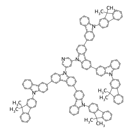 CC1(C)c2ccccc2-c2ccc(-n3c4ccccc4c4cc(-c5ccc6c(c5)c5cc(-c7ccc8c(c7)c7ccccc7n8-c7ccc8c(c7)C(C)(C)c7ccccc7-8)ccc5n6-c5cncc(-n6c7ccc(-c8ccc9c(c8)c8ccccc8n9-c8ccc9c(c8)C(C)(C)c8ccccc8-9)cc7c7cc(-c8ccc9c(c8)c8ccccc8n9-c8ccc9c(c8)C(C)(C)c8ccccc8-9)ccc76)c5)ccc43)cc21